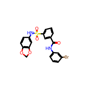 O=C(Nc1cccc(Br)c1)c1cccc(S(=O)(=O)Nc2ccc3c(c2)OCO3)c1